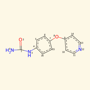 NC(=O)Nc1ccc(Oc2ccncc2)cc1